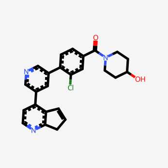 O=C(c1ccc(-c2cncc(-c3ccnc4c3C=CC4)c2)c(Cl)c1)N1CCC(O)CC1